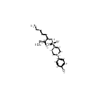 NCCCCC(NS(=O)(=O)N1CCN(c2ccc(Cl)cc2)CC1)C(=O)NO